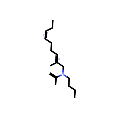 C=C(C)N(CCCC)C/C(C)=C/CC/C=C\CC